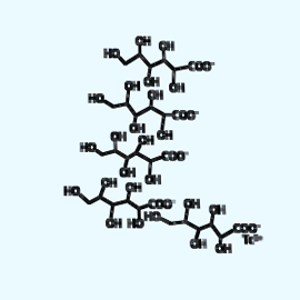 O=C([O-])C(O)C(O)C(O)C(O)CO.O=C([O-])C(O)C(O)C(O)C(O)CO.O=C([O-])C(O)C(O)C(O)C(O)CO.O=C([O-])C(O)C(O)C(O)C(O)CO.O=C([O-])C(O)C(O)C(O)C(O)CO.[Tc+5]